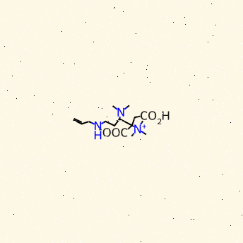 C=CCNCCC(N(C)C)C(CC(=O)O)(C(=O)[O-])[N+](C)(C)C